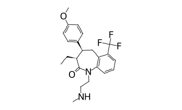 CC[C@@H]1C(=O)N(CCNC)c2cccc(C(F)(F)F)c2C[C@@H]1c1ccc(OC)cc1